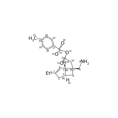 CCC1=C[C@H]2[C@H](C1)C[C@@]2(CN)CC(=O)OS(=O)(=O)c1ccc(C)cc1